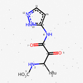 CCCCC(NC(=O)O)C(=O)C(=O)Nc1ccn[nH]1